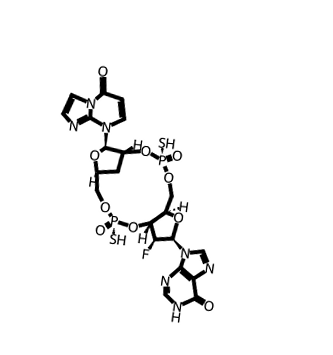 O=c1[nH]cnc2c1ncn2[C@@H]1O[C@@H]2CO[P@@](=O)(S)O[C@@H]3C[C@@H](CO[P@@](=O)(S)O[C@H]2[C@@H]1F)O[C@H]3n1ccc(=O)n2ccnc12